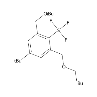 CCC(C)COCc1cc(C(C)(C)C)cc(COCC(C)C)c1S(F)(F)F